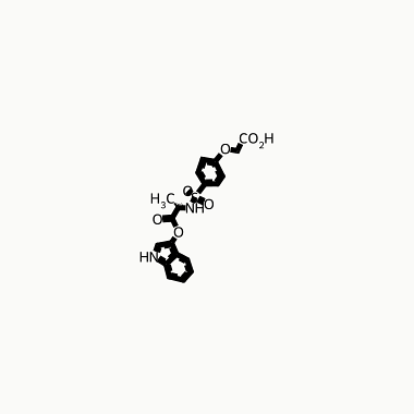 C[C@H](NS(=O)(=O)c1ccc(OCC(=O)O)cc1)C(=O)Oc1c[nH]c2ccccc12